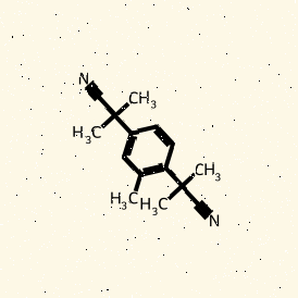 Cc1cc(C(C)(C)C#N)ccc1C(C)(C)C#N